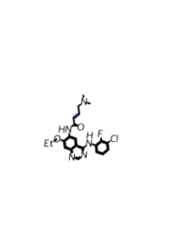 CCOc1cc2ncnc(Nc3cccc(Cl)c3F)c2cc1NC(=O)/C=C/CN(C)C